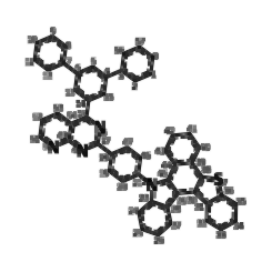 c1ccc(-c2cc(-c3ccccc3)cc(-c3nc(-c4ccc(-n5c6ccccc6c6c7c8ccccc8sc7c7ccccc7c65)cc4)nc4ncccc34)c2)cc1